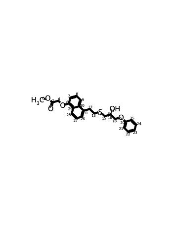 COC(=O)COc1cccc2c(CCSC[C@H](O)COc3ccccc3)cccc12